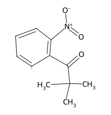 CC(C)(C)C(=O)c1[c]cccc1[N+](=O)[O-]